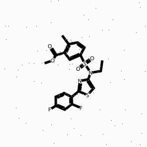 CCN(c1csc(-c2ccc(F)cc2F)n1)S(=O)(=O)c1ccc(C)c(C(=O)OC)c1